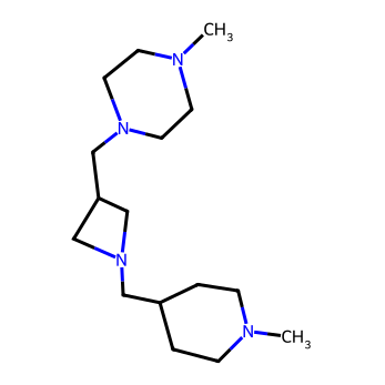 CN1CCC(CN2CC(CN3CCN(C)CC3)C2)CC1